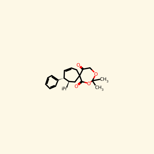 CC(C)[C@@H]1CC2(CC=C[C@H]1c1ccccc1)C(=O)COC(C)(C)OC2=O